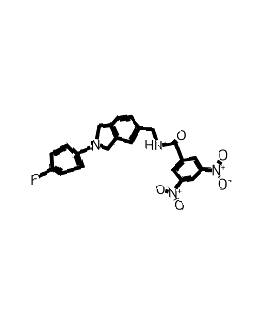 O=C(NCc1ccc2c(c1)CN(c1ccc(F)cc1)C2)c1cc([N+](=O)[O-])cc([N+](=O)[O-])c1